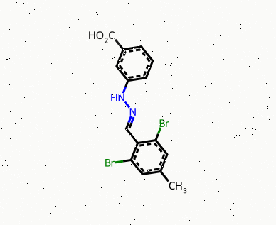 Cc1cc(Br)c(/C=N/Nc2cccc(C(=O)O)c2)c(Br)c1